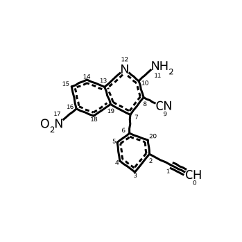 C#Cc1cccc(-c2c(C#N)c(N)nc3ccc([N+](=O)[O-])cc23)c1